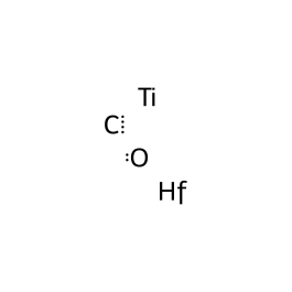 [C].[Hf].[O].[Ti]